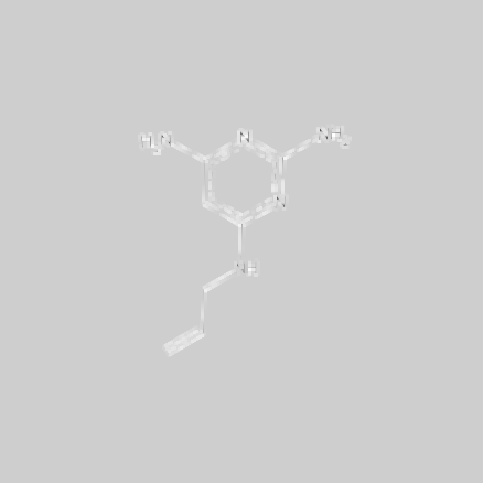 C=CCNc1cc(N)nc(N)n1